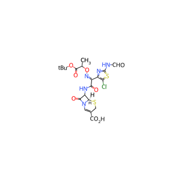 CC(ON=C(C(=O)NC1C(=O)N2C=C(C(=O)O)CS[C@H]12)c1nc(NC=O)sc1Cl)C(=O)OC(C)(C)C